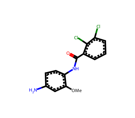 COc1cc(N)ccc1NC(=O)c1cccc(Cl)c1Cl